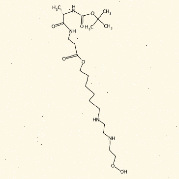 C[C@H](NC(=O)OC(C)(C)C)C(=O)NCCC(=O)OCCCCCCNCCNCCOO